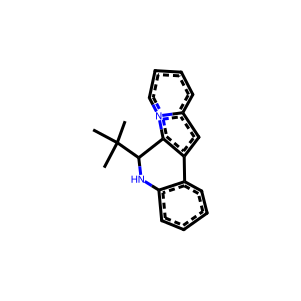 CC(C)(C)C1Nc2ccccc2-c2cc3ccccn3c21